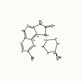 O=c1[nH]c2cnc3ccc(Br)cc3c2n1[C@H]1CC[C@H](O)CC1